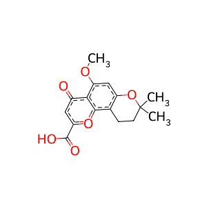 COc1cc2c(c3oc(C(=O)O)cc(=O)c13)CCC(C)(C)O2